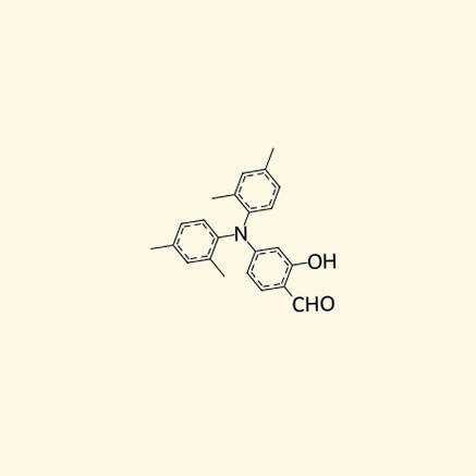 Cc1ccc(N(c2ccc(C=O)c(O)c2)c2ccc(C)cc2C)c(C)c1